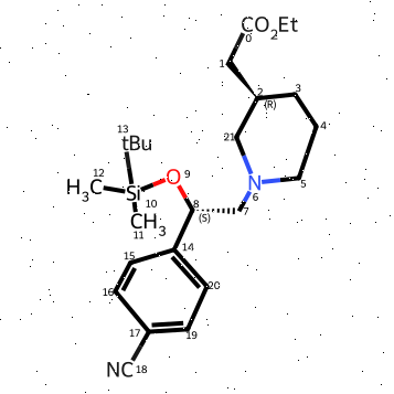 CCOC(=O)C[C@H]1CCCN(C[C@@H](O[Si](C)(C)C(C)(C)C)c2ccc(C#N)cc2)C1